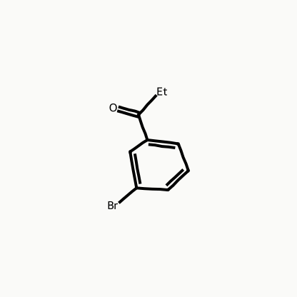 CCC(=O)c1cccc(Br)c1